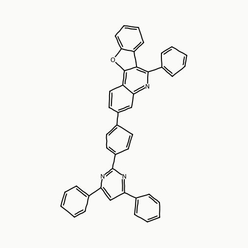 c1ccc(-c2cc(-c3ccccc3)nc(-c3ccc(-c4ccc5c(c4)nc(-c4ccccc4)c4c6ccccc6oc54)cc3)n2)cc1